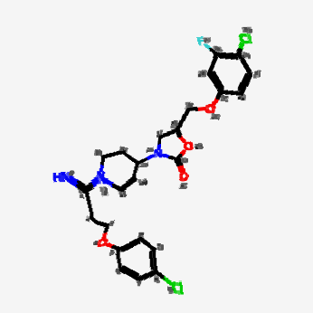 N=C(CCOc1ccc(Cl)cc1)N1CCC(N2CC(COc3ccc(Cl)c(F)c3)OC2=O)CC1